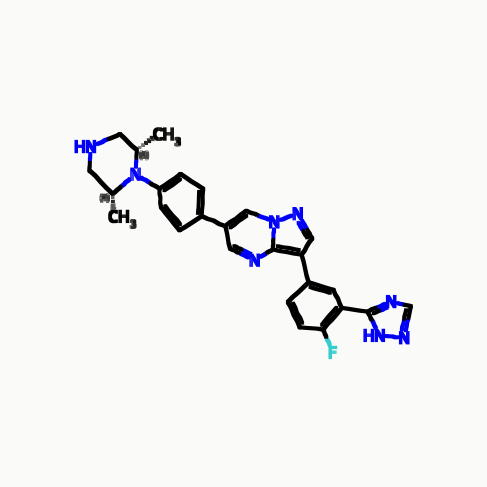 C[C@@H]1CNC[C@H](C)N1c1ccc(-c2cnc3c(-c4ccc(F)c(-c5ncn[nH]5)c4)cnn3c2)cc1